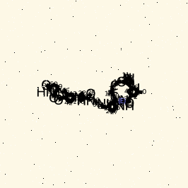 Cc1cc2cc(n1)-c1cnn(C)c1OCCC[C@@H](C)CN1/C(=N/C2=O)Nc2ccc(CNCCNC(=O)C3CN(c4ccc5c(c4)CN(C4CCC(=O)NC4=O)C5=O)C3)cc21